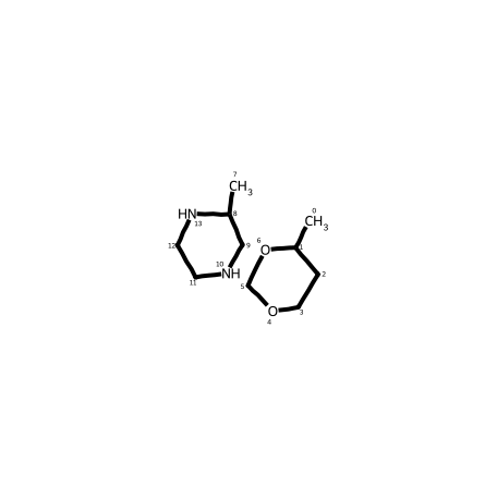 CC1CCOCO1.CC1CNCCN1